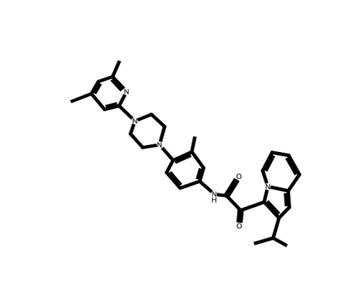 Cc1cc(C)nc(N2CCN(c3ccc(NC(=O)C(=O)c4c(C(C)C)cc5ccccn45)cc3C)CC2)c1